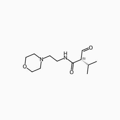 CC(C)[C@@H](C=O)C(=O)NCCN1CCOCC1